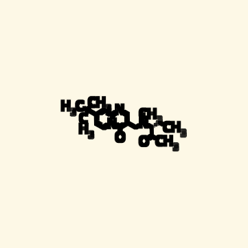 CC[C@H](C(C)=O)N(C)Cc1cnc2cc(C(C)(C)C)ccn2c1=O